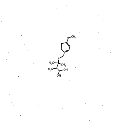 COC1=CC=C(CSC(C)(C)C(N)C(O)O)CC1